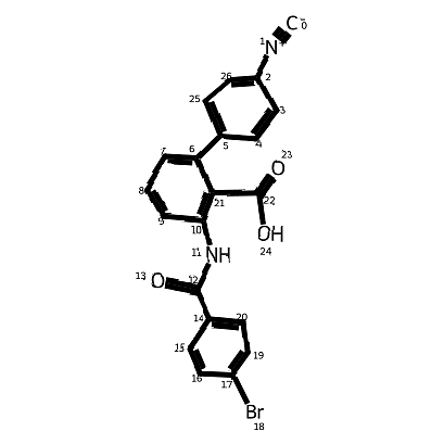 [C-]#[N+]c1ccc(-c2cccc(NC(=O)c3ccc(Br)cc3)c2C(=O)O)cc1